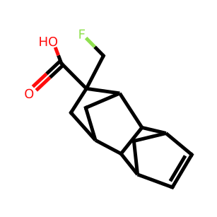 O=C(O)C1(CF)CC2CC1C1C3C=CC(C3)C21